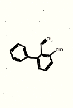 C=Cc1c(C=O)cccc1-c1ccccc1